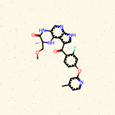 COC[C@]1(C)Nc2c(cnc3[nH]cc(C(=O)c4ccc(Oc5cc(C)ccn5)cc4F)c23)NC1=O